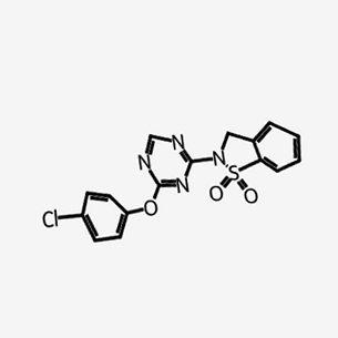 O=S1(=O)c2ccccc2CN1c1ncnc(Oc2ccc(Cl)cc2)n1